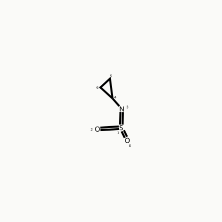 O=S(=O)=NC1CC1